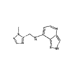 Cn1ncnc1CNc1ccnc2c[nH]nc12